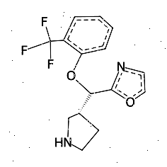 FC(F)(F)c1ccccc1OC(c1ncco1)[C@@H]1CCNC1